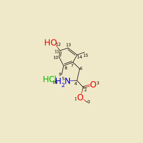 COC(=O)C(N)Cc1c(C)cc(O)cc1C.Cl